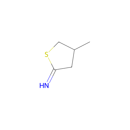 CC1CSC(=N)C1